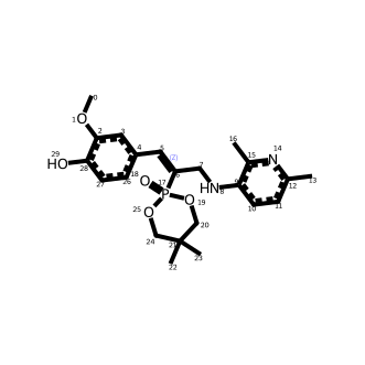 COc1cc(/C=C(/CNc2ccc(C)nc2C)P2(=O)OCC(C)(C)CO2)ccc1O